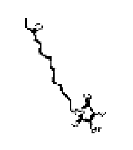 CCC(=O)CCCCCCCCCCCN1C(=O)C(Br)=C(Br)C1=O